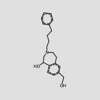 OCc1ccc2c(c1)CCN(CCCCc1ccccc1)CC2O